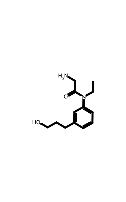 CCN(C(=O)CN)c1cccc(CCCO)c1